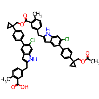 CC(=O)OCC1(c2ccc(-c3cc4cc(Cc5ccc(C)c(C(=O)OCC6(c7ccc(-c8cc9cc(Cc%10ccc(C)c(C(=O)O)c%10)[nH]c9cc8Cl)cc7)CC6)c5)[nH]c4cc3Cl)cc2)CC1